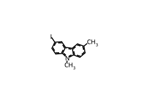 Cc1ccc2c(c1)c1cc(I)ccc1n2C